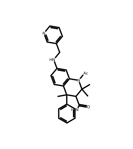 CC(=O)N1c2cc(NCc3cccnc3)[c]cc2C(C)(c2ccccc2)C(C(N)=O)C1(C)C